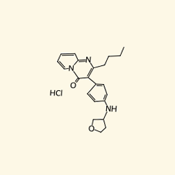 CCCCc1nc2ccccn2c(=O)c1-c1ccc(NC2CCOC2)cc1.Cl